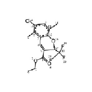 CCOC(=O)C1=Cc2c(C)c(Cl)cc(C)c2OC1C(F)(F)F